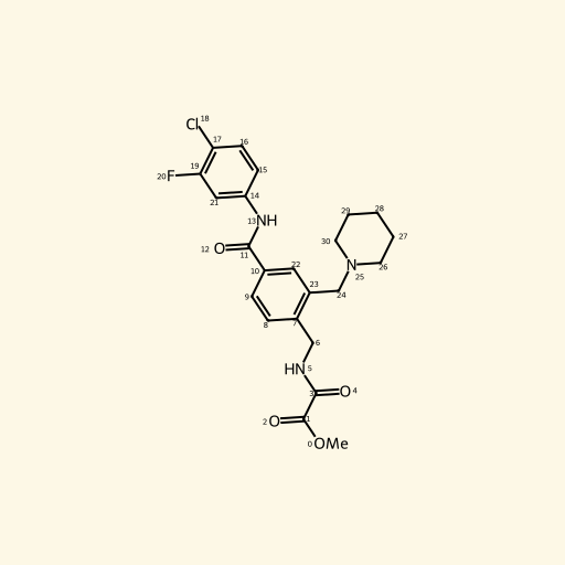 COC(=O)C(=O)NCc1ccc(C(=O)Nc2ccc(Cl)c(F)c2)cc1CN1CCCCC1